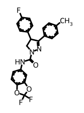 Cc1ccc(C2=NN(C(=O)Nc3ccc4c(c3)OC(F)(F)O4)CC2c2ccc(F)cc2)cc1